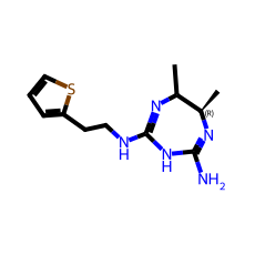 CC1N=C(NCCc2cccs2)NC(N)=N[C@@H]1C